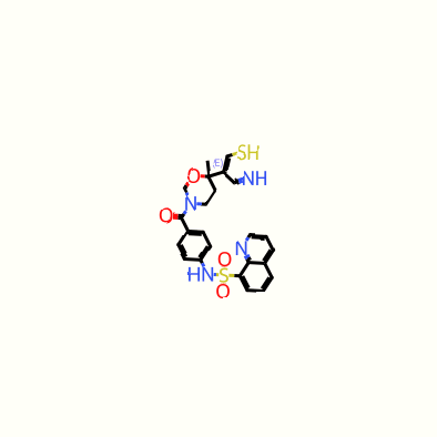 CC1(/C(C=N)=C/S)CCN(C(=O)c2ccc(NS(=O)(=O)c3cccc4cccnc34)cc2)CO1